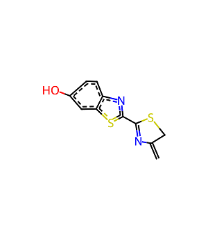 C=C1CSC(c2nc3ccc(O)cc3s2)=N1